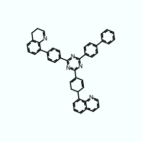 C1=CC(c2cccc3cccnc23)CC=C1c1nc(-c2ccc(-c3ccccc3)cc2)nc(-c2ccc(-c3cccc4c3N=CCC4)cc2)n1